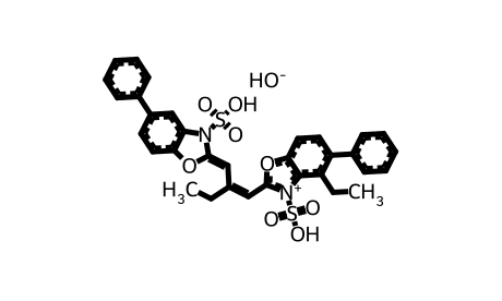 CCC(=Cc1oc2ccc(-c3ccccc3)c(CC)c2[n+]1S(=O)(=O)O)C=C1Oc2ccc(-c3ccccc3)cc2N1S(=O)(=O)O.[OH-]